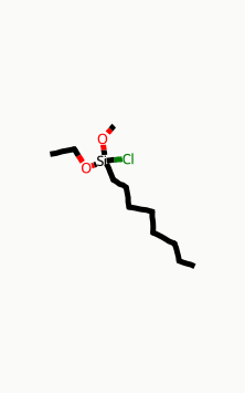 CCCCCCCC[Si](Cl)(OC)OCC